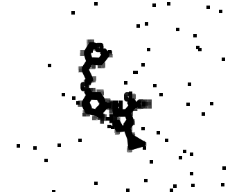 O=C(O)c1cc(C2CC2)cnc1Nc1cc(OCCC2=CCOCC2)ccc1F